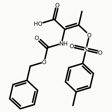 CC(OS(=O)(=O)c1ccc(C)cc1)=C(NC(=O)OCc1ccccc1)C(=O)O